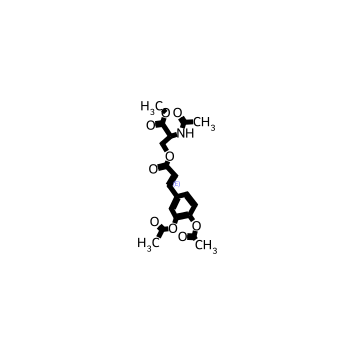 COC(=O)C(COC(=O)/C=C/c1ccc(OC(C)=O)c(OC(C)=O)c1)NC(C)=O